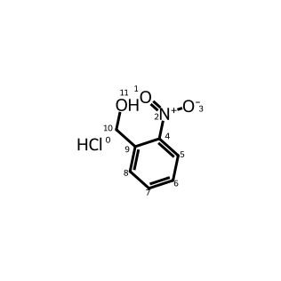 Cl.O=[N+]([O-])c1ccccc1CO